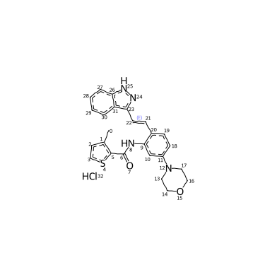 Cc1ccsc1C(=O)Nc1cc(N2CCOCC2)ccc1/C=C/c1n[nH]c2ccccc12.Cl